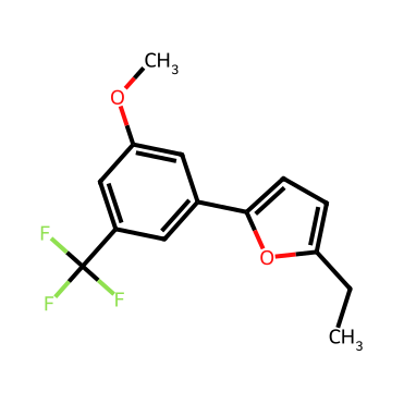 CCc1ccc(-c2cc(OC)cc(C(F)(F)F)c2)o1